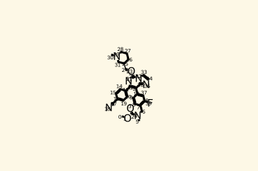 COC(=O)N(C)Cc1ccc(-c2c(-c3ccc(C#N)cc3)nc(OC[C@@H]3CCCN(C)C3)n3ccnc23)cc1F